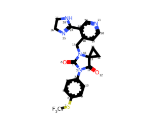 O=C1N(c2ccc(SC(F)(F)F)cc2)C(=O)C2(CC2)N1Cc1ccncc1C1=NCCN1